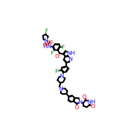 O=C1CCC(N2Cc3cc(C4CCN(CC5CCN(c6ccc(-c7cnc8[nH]cc(C(=O)c9c(F)ccc(NS(=O)(=O)N%10CC[C@@H](F)C%10)c9F)c8c7)cc6F)CC5)CC4)ccc3C2=O)C(=O)N1